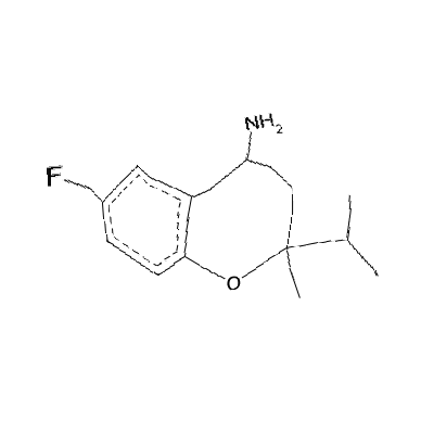 CC(C)C1(C)CC(N)c2cc(F)ccc2O1